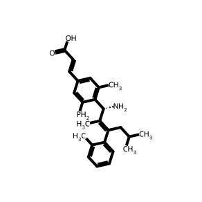 C/C(=C(/CC(C)C)c1ccccc1C)[C@@H](N)c1c(C)cc(/C=C/C(=O)O)cc1P